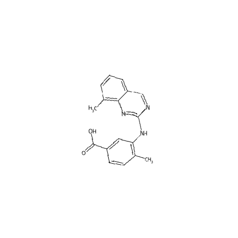 Cc1ccc(C(=O)O)cc1Nc1ncc2cccc(C)c2n1